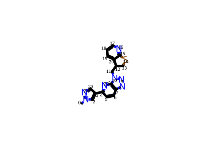 Cn1cc(-c2ccc3nnn(CC4CSc5ncccc54)c3n2)cn1